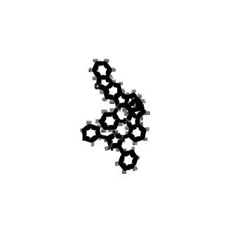 c1ccc(-c2nc(-c3ccccc3)n(-c3cccc4c5ccccc5n(-c5ccccc5-n5c6ccccc6c6cc7c(cc65)oc5ccccc57)c34)n2)cc1